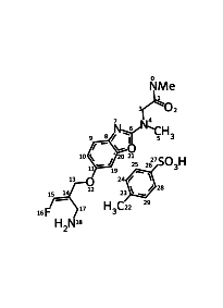 CNC(=O)CN(C)c1nc2ccc(OC/C(=C/F)CN)cc2o1.Cc1ccc(S(=O)(=O)O)cc1